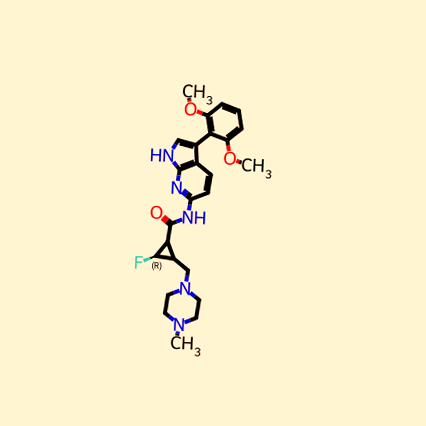 COc1cccc(OC)c1-c1c[nH]c2nc(NC(=O)C3C(CN4CCN(C)CC4)[C@H]3F)ccc12